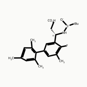 Cc1cc(C)c(-c2cc(C)c(F)c([C@H](CC(=O)O)N[S+]([O-])C(C)(C)C)c2)c(C)c1